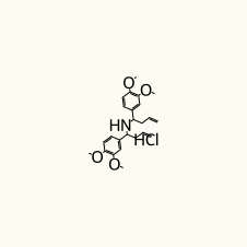 C=CCC(NC(CC=C)c1ccc(OC)c(OC)c1)c1ccc(OC)c(OC)c1.Cl